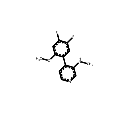 CNc1cnccc1-c1cc(F)c(F)cc1OC